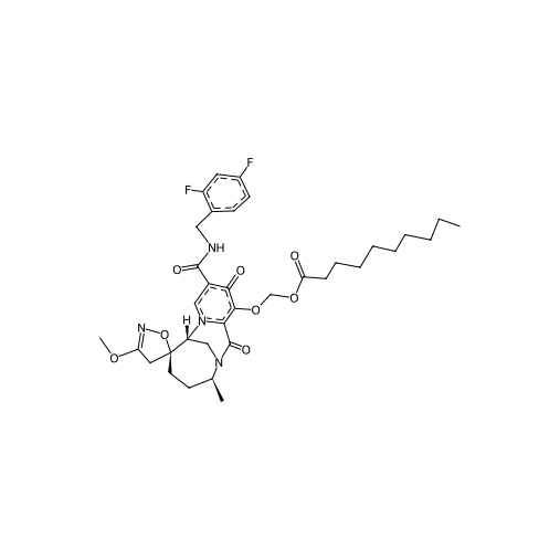 CCCCCCCCCC(=O)OCOc1c2n(cc(C(=O)NCc3ccc(F)cc3F)c1=O)[C@@H]1CN(C2=O)[C@@H](C)CC[C@]12CC(OC)=NO2